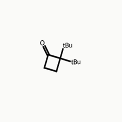 CC(C)(C)C1(C(C)(C)C)CCC1=O